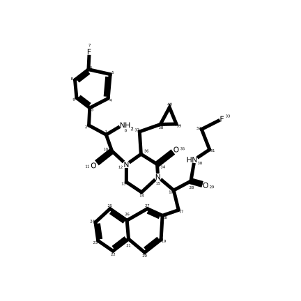 NC(Cc1ccc(F)cc1)C(=O)N1CCN(C(Cc2ccc3ccccc3c2)C(=O)NCCF)C(=O)C1CC1CC1